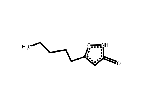 CCCCCc1cc(=O)[nH]o1